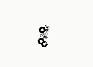 O=S(=O)(Nc1cccc2cccnc12)c1cccc2nonc12